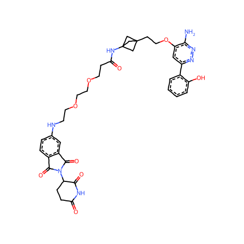 Nc1nnc(-c2ccccc2O)cc1OCCC12CC(NC(=O)CCOCCOCCNc3ccc4c(c3)C(=O)N(C3CCC(=O)NC3=O)C4=O)(C1)C2